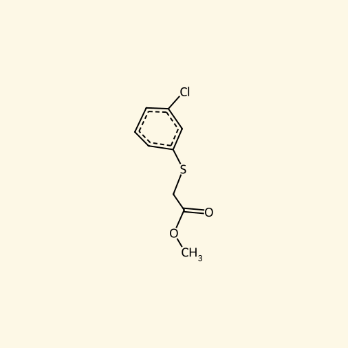 COC(=O)CSc1cccc(Cl)c1